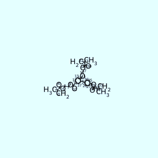 C=C(C)C(=O)OCCOC(=O)c1ccc(OCCOC(=O)C(=C)C)c(-c2ccc(OC(=O)C(=C)C)cc2)c1